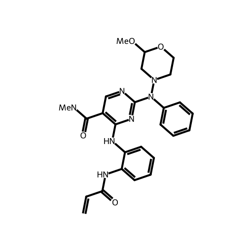 C=CC(=O)Nc1ccccc1Nc1nc(N(c2ccccc2)N2CCOC(OC)C2)ncc1C(=O)NC